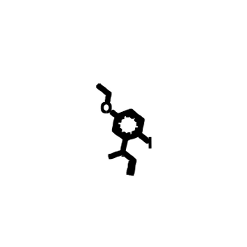 C=C[C](C)c1cc(OCC)ccc1I